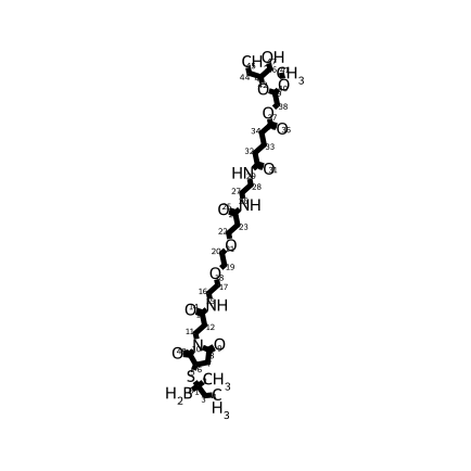 BC(C)(CC)SC1CC(=O)N(CCC(=O)NCCOCCOCCC(=O)NCCNC(=O)CCCC(=O)OCC(OC)OC(CC)CO)C1=O